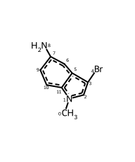 Cn1cc(Br)c2cc(N)ccc21